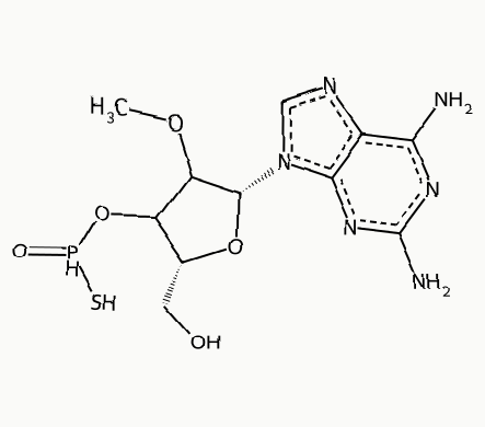 COC1C(O[PH](=O)S)[C@@H](CO)O[C@H]1n1cnc2c(N)nc(N)nc21